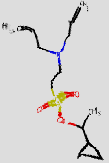 C=CCN(CC=C)CCS(=O)(=O)OC(C)C1CC1